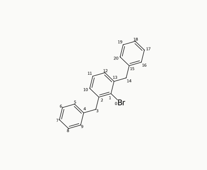 Brc1c(Cc2ccccc2)cccc1Cc1ccccc1